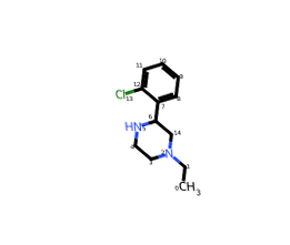 CCN1CCNC(c2ccccc2Cl)C1